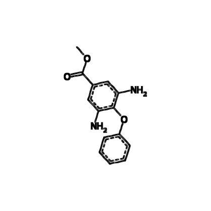 COC(=O)c1cc(N)c(Oc2ccccc2)c(N)c1